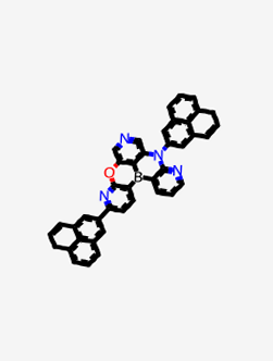 C1=Cc2cc(-c3ccc4c(n3)Oc3cncc5c3B4c3cccnc3N5c3cc4c5c(cccc5c3)CC=C4)cc3cccc(c23)C1